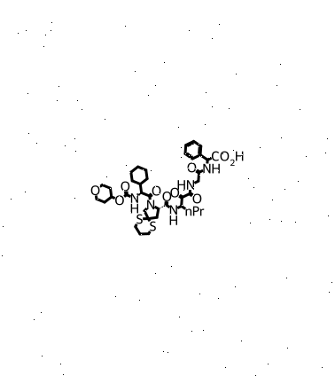 CCCC(NC(=O)[C@@H]1CC2(CN1C(=O)[C@@H](NC(=O)OC1CCOCC1)C1CCCCC1)SCCCS2)C(=O)C(=O)NCC(=O)NC(C(=O)O)c1ccccc1